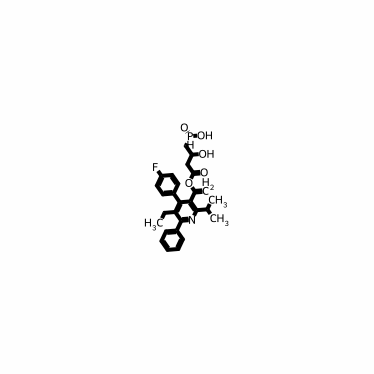 C=C(OC(=O)CC(O)C[PH](=O)O)c1c(C(C)C)nc(-c2ccccc2)c(CC)c1-c1ccc(F)cc1